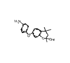 CC1(O)CC(C)(C)c2ccc(Oc3ccc(N)cc3)cc2O1